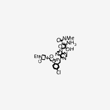 CCN1CCN(C(=O)COc2ccc(Cl)cc2CNc2ncnc3c2ncn3[C@@H]2O[C@H](C(=O)NC)[C@@H](N)[C@H]2O)CC1=O